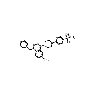 Cc1ccc2c(Cc3ccncc3)nnc(N3CCN(c4ccc(C(C)(C)C)cn4)CC3)c2c1